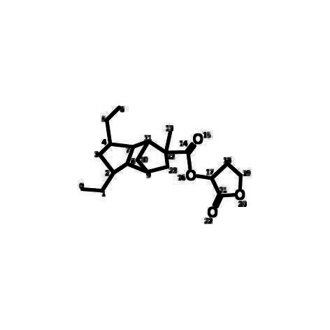 CCC1CC(CC)C2C1C1CC2C(C)(C(=O)OC2CCOC2=O)C1